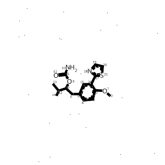 COc1ccc(CC(OC(N)=O)C(C)C)cc1-c1nccs1